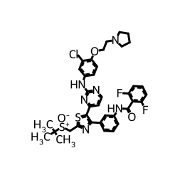 CC(C)(C)[S+]([O-])Cc1nc(-c2cccc(NC(=O)c3c(F)cccc3F)c2)c(-c2ccnc(Nc3ccc(OCCN4CCCC4)c(Cl)c3)n2)s1